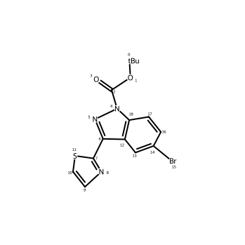 CC(C)(C)OC(=O)n1nc(-c2nccs2)c2cc(Br)ccc21